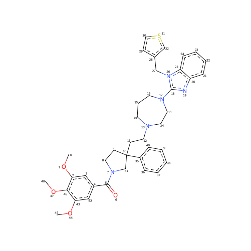 COc1cc(C(=O)N2CCC(CCN3CCCN(c4nc5ccccc5n4Cc4ccsc4)CC3)(c3ccccc3)C2)cc(OC)c1OC